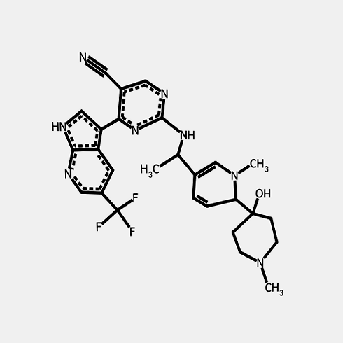 CC(Nc1ncc(C#N)c(-c2c[nH]c3ncc(C(F)(F)F)cc23)n1)C1=CN(C)C(C2(O)CCN(C)CC2)C=C1